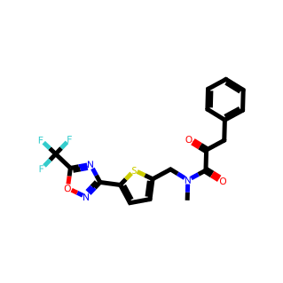 CN(Cc1ccc(-c2noc(C(F)(F)F)n2)s1)C(=O)C(=O)Cc1ccccc1